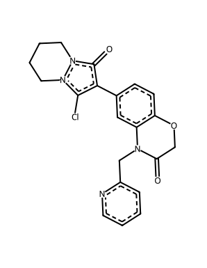 O=C1COc2ccc(-c3c(Cl)n4n(c3=O)CCCC4)cc2N1Cc1ccccn1